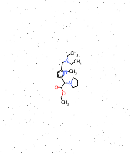 CCOC(=O)C(c1ccc(CN(CC)CC)n1C)N1CCCC1